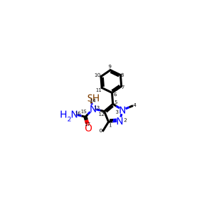 Cc1nn(C)c(-c2ccccc2)c1N(S)C(N)=O